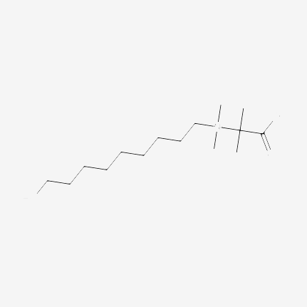 CC(C)(C(=O)[O-])[N+](C)(C)CCCCCCCCCO